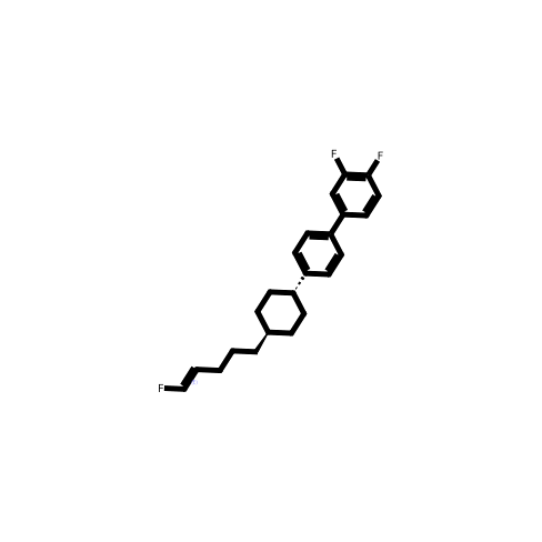 F/C=C/CCC[C@H]1CC[C@H](c2ccc(-c3ccc(F)c(F)c3)cc2)CC1